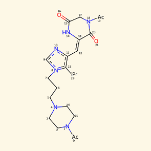 CC(=O)N1CCN(CCCn2cnc(/C=C3\NC(=O)CN(C(C)=O)C3=O)c2C(C)C)CC1